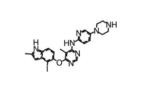 Cc1cc2c(I)c(Oc3ncnc(Nc4ccc(N5CCNCC5)cn4)c3C)ccc2[nH]1